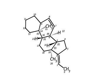 CC=C1CC[C@H]2[C@@H]3C=CC4CCCC[C@]4(C)[C@H]3CC[C@]12C